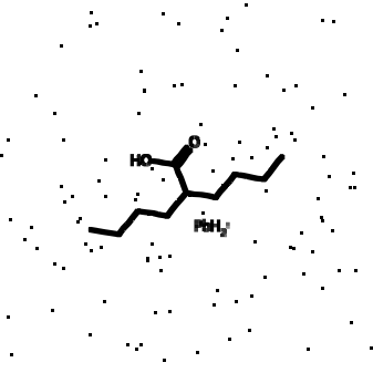 CCCCC(CCCC)C(=O)O.[PbH2]